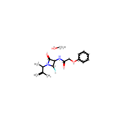 C=C(C)C(C)N1C(=O)C(NC(=O)COc2ccccc2)C1F.O=C(O)O